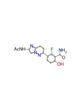 CC(=O)Nc1cn2nc(-c3ccc(O)c(C(N)=O)c3F)ccc2n1